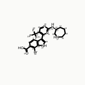 O=C(O)c1ccc2c(-c3nc(N[C@H]4CCCCNC4)ncc3C(F)(F)F)c[nH]c2c1Br